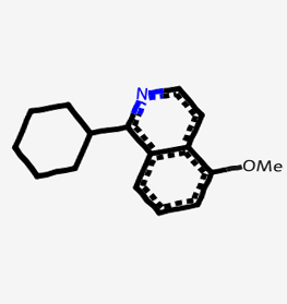 COc1cccc2c(C3CCCCC3)nccc12